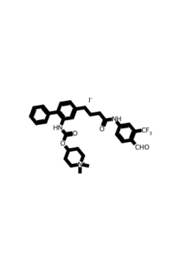 C[N+]1(C)CCC(OC(=O)Nc2cc(CCCC(=O)Nc3ccc(C=O)c(C(F)(F)F)c3)ccc2-c2ccccc2)CC1.[I-]